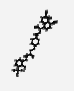 O=C(CCN1CCC(NCC(O)c2ccc(O)c3[nH]c(=O)ccc23)CC1)NCc1cccc(C(F)(F)F)c1F